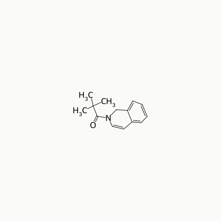 CC(C)(C)C(=O)N1C=Cc2ccccc2C1